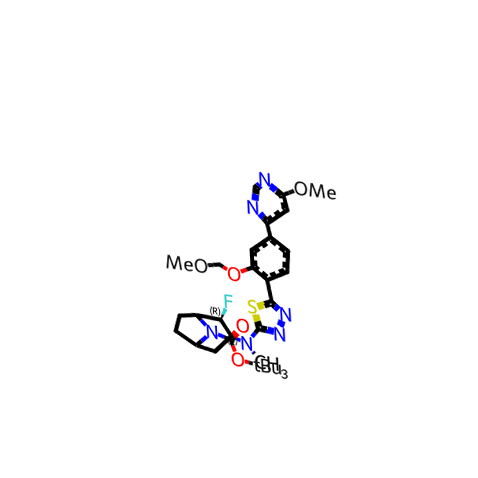 COCOc1cc(-c2cc(OC)ncn2)ccc1-c1nnc(N(C)[C@H]2CC3CCC([C@H]2F)N3C(=O)OC(C)(C)C)s1